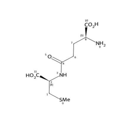 CSC[C@H](NC(=O)CC[C@H](N)C(=O)O)C(=O)O